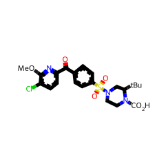 COc1nc(C(=O)c2ccc(S(=O)(=O)N3CCN(C(=O)O)C(C(C)(C)C)C3)cc2)ccc1Cl